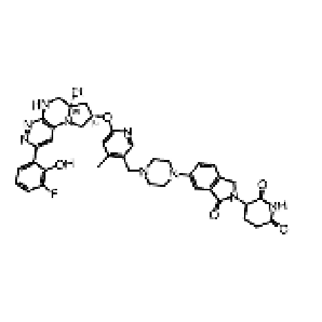 CC[C@@]12CNc3nnc(-c4cccc(F)c4O)cc3N1C[C@H](Oc1cc(C)c(CN3CCN(c4ccc5c(c4)C(=O)N(C4CCC(=O)NC4=O)C5)CC3)cn1)C2